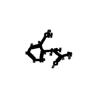 CCC(=O)Nc1ncccc1O